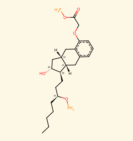 CCCCC[C@@H](CC[C@@H]1[C@H]2Cc3cccc(OCC(=O)OP)c3C[C@H]2C[C@H]1O)OP